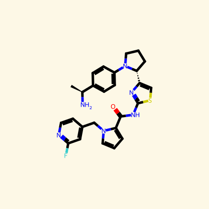 C[C@H](N)c1ccc(N2CCC[C@@H]2c2csc(NC(=O)c3cccn3Cc3ccnc(F)c3)n2)cc1